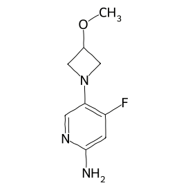 COC1CN(c2cnc(N)cc2F)C1